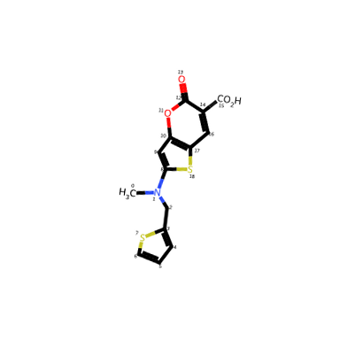 CN(Cc1cccs1)c1cc2oc(=O)c(C(=O)O)cc2s1